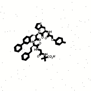 CC1C=CC(OCC(=O)N[C@H](CC2CC=CS2)C(=O)N[C@@H](Cc2ccc(-c3ccccc3)cc2)C(=O)N[C@H](CCc2ccccc2)C(=O)NCC(=O)NC(C)(C)C(=O)O)=CC1